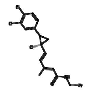 CC(C=C[C@]1(Cl)CC1c1ccc(Cl)c(Cl)c1)=CC(=O)NCC(C)C